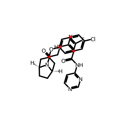 O=C(Nc1ccncn1)c1cc(Cl)cnc1NCC(=O)N1[C@@H]2CC[C@H]1CC(Oc1ccc(F)cc1)C2